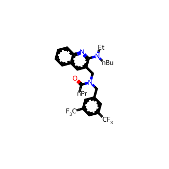 CCCCN(CC)c1nc2ccccc2cc1CN(Cc1cc(C(F)(F)F)cc(C(F)(F)F)c1)C(=O)CCC